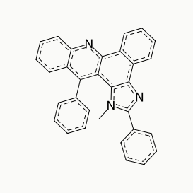 Cn1c(-c2ccccc2)nc2c3ccccc3c3nc4ccccc4c(-c4ccccc4)c3c21